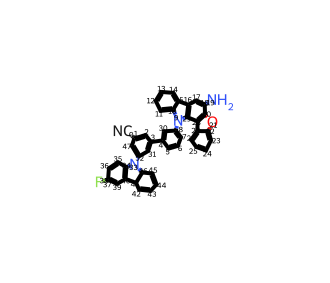 N#Cc1cc(-c2cccc(-n3c4ccccc4c4cc(N)c5oc6ccccc6c5c43)c2)cc(N2c3ccc(F)cc3C3C=CC=CC32)c1